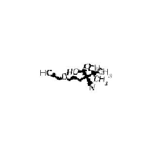 C#CCOCCCC(C#N)(C(=O)O)C(C)(C)C